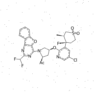 CC(=O)[C@@H]1C[C@H](Oc2ncc(Cl)cc2[C@@]2(F)CCS(=O)(=O)C[C@@H]2C)CN1c1nc(C(F)F)nc2c1oc1ccccc12